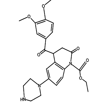 CCOC(=O)N1C(=O)CC(C(=O)c2ccc(OC)c(OC)c2)c2cc(N3CCNCC3)ccc21